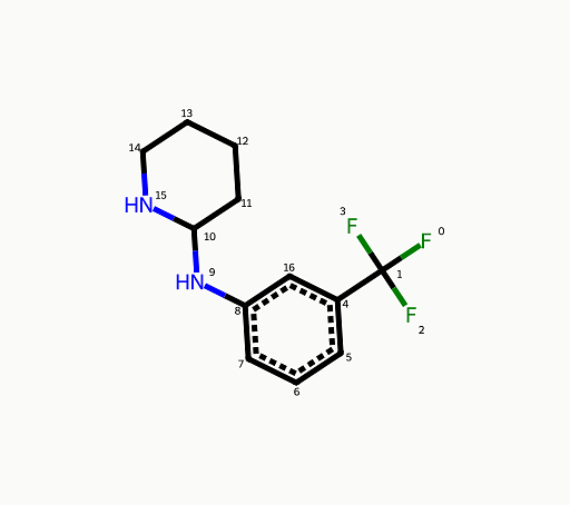 FC(F)(F)c1cccc(NC2CCCCN2)c1